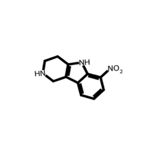 O=[N+]([O-])c1cccc2c3c([nH]c12)CCNC3